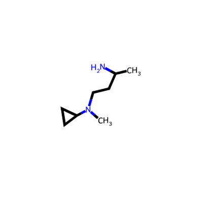 CC(N)CCN(C)C1CC1